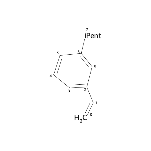 C=Cc1cccc(C(C)CCC)c1